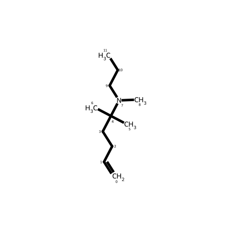 C=CCCC(C)(C)N(C)CCC